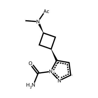 CC(=O)N(C)[C@H]1C[C@@H](c2c[c]nn2C(N)=O)C1